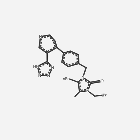 CCCc1c(C)n(CC(C)C)c(=O)n1Cc1ccc(-c2ccncc2-c2nnn[nH]2)cc1